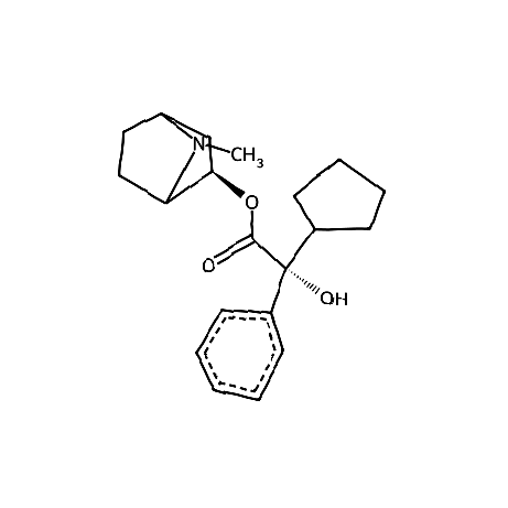 CN1C2CCC1[C@H](OC(=O)[C@](O)(c1ccccc1)C1CCCC1)C2